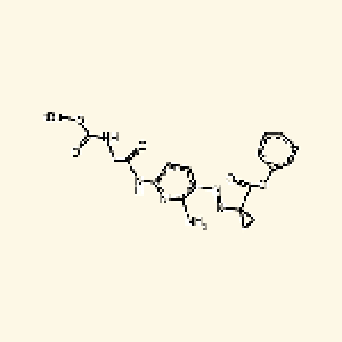 CC(C)(C)OC(=O)NCC(=O)Nc1ccc(/N=N/C2(C(=O)Oc3ccccc3)CC2)c(N)n1